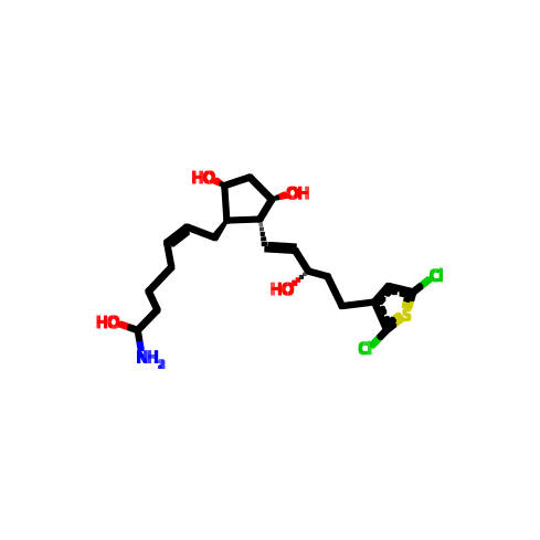 NC(O)CCC/C=C\C[C@@H]1[C@@H](/C=C/[C@@H](O)CCc2cc(Cl)sc2Cl)[C@H](O)C[C@@H]1O